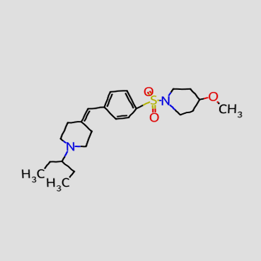 CCC(CC)N1CCC(=Cc2ccc(S(=O)(=O)N3CCC(OC)CC3)cc2)CC1